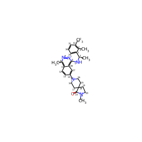 Cc1c([C@@H](C)Nc2nnc(C)c3ccc(N4CCC5(CCN(C)C5=O)CC4)cc23)cccc1C(F)(F)F